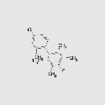 Cc1cc(Cl)ccc1-c1c(C)c(C)c(Cl)c(C)c1C